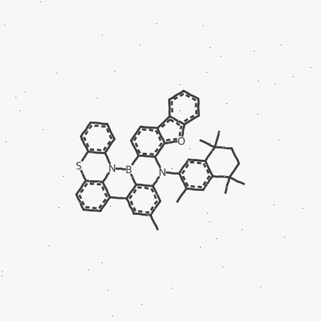 Cc1cc2c3c(c1)N(c1cc4c(cc1C)C(C)(C)CCC4(C)C)c1c(ccc4c1oc1ccccc14)B3N1c3ccccc3Sc3cccc-2c31